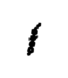 C=C[C@H]1CC[C@H](c2ccc(-c3cc(F)c(-c4ccc(COCCC)cc4)cc3F)cc2)CC1